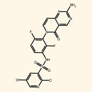 Nc1ncc2c(=O)n(-c3c(F)ccc(NS(=O)(=O)c4cc(Cl)cnc4Cl)c3F)ccc2n1